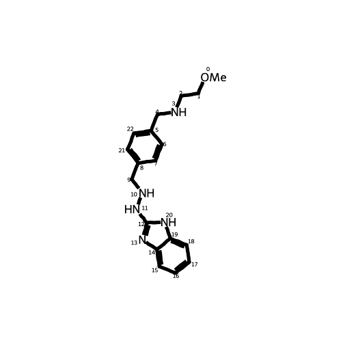 COCCNCc1ccc(CNNc2nc3ccccc3[nH]2)cc1